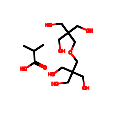 CC(C)C(=O)O.OCC(CO)(CO)COCC(CO)(CO)CO